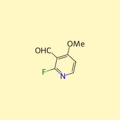 COc1ccnc(F)c1C=O